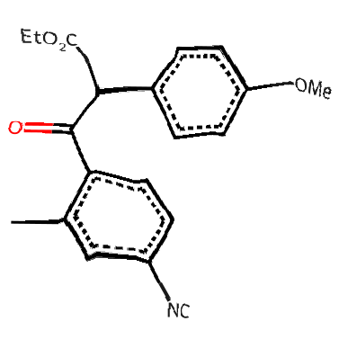 [C-]#[N+]c1ccc(C(=O)C(C(=O)OCC)c2ccc(OC)cc2)c(C)c1